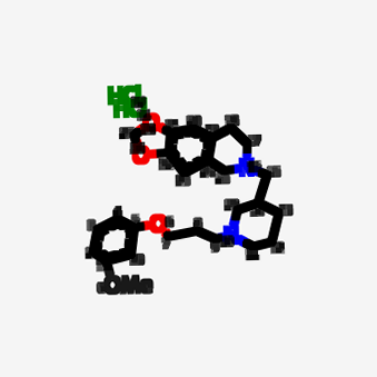 COc1cccc(OCCCN2CCCC(CN3CCc4cc5c(cc4C3)OCO5)C2)c1.Cl.Cl